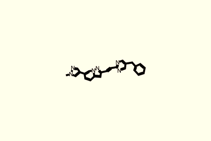 Cn1cc(-c2ccc3cc(C#Cc4ncc(Cc5ccccc5)cn4)nn3c2)cn1